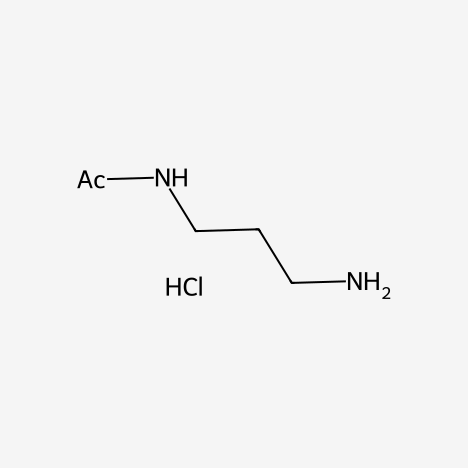 CC(=O)NCCCN.Cl